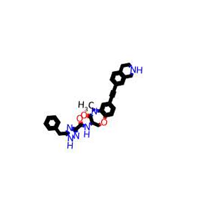 CN1C(=O)C(NC(=O)c2n[nH]c(Cc3ccccc3)n2)COc2ccc(C#Cc3ccc4c(c3)CNCC4)cc21